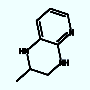 CC1CNc2ncccc2N1